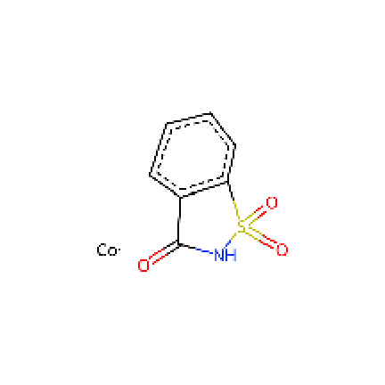 O=C1NS(=O)(=O)c2ccccc21.[Co]